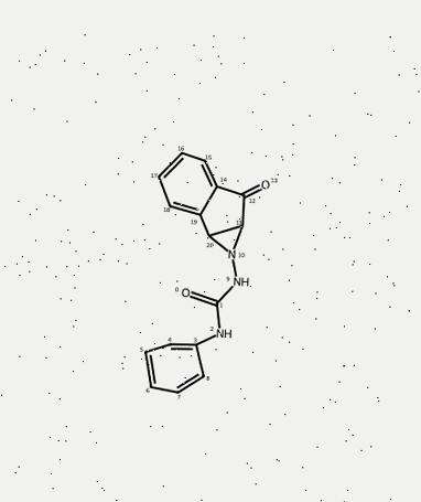 O=C(Nc1ccccc1)NN1C2C(=O)c3ccccc3C21